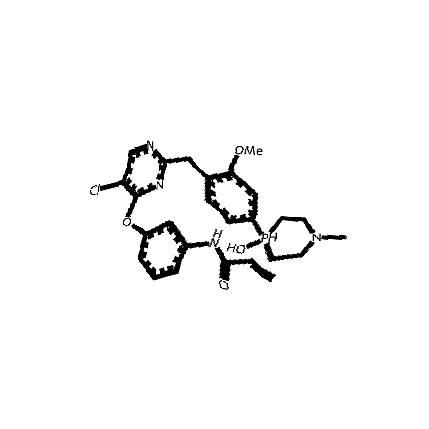 C=CC(=O)Nc1cccc(Oc2nc(Cc3ccc([PH]4(O)CCN(C)CC4)cc3OC)ncc2Cl)c1